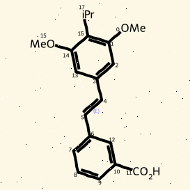 COc1cc(/C=C/c2cccc(C(=O)O)c2)cc(OC)c1C(C)C